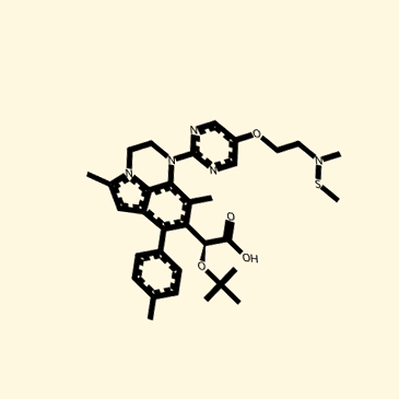 CSN(C)CCOc1cnc(N2CCn3c(C)cc4c(-c5ccc(C)cc5)c([C@H](OC(C)(C)C)C(=O)O)c(C)c2c43)nc1